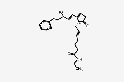 CCNC(=O)CCCC=CC[C@H]1C(=O)CC=C1C=CC(O)CCc1ccccc1